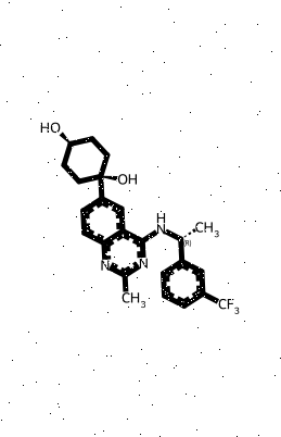 Cc1nc(N[C@H](C)c2cccc(C(F)(F)F)c2)c2cc([C@]3(O)CC[C@@H](O)CC3)ccc2n1